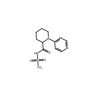 CS(=O)(=O)NC(=O)C1CCCCN1c1ccn[c]n1